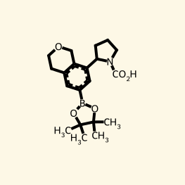 CC1(C)OB(c2cc3c(c(C4CCCN4C(=O)O)c2)COCC3)OC1(C)C